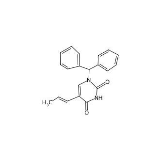 C/C=C/c1cn(C(c2ccccc2)c2ccccc2)c(=O)[nH]c1=O